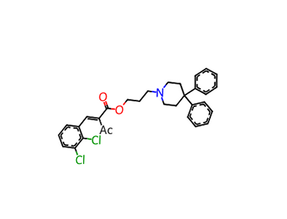 CC(=O)C(=Cc1cccc(Cl)c1Cl)C(=O)OCCCN1CCC(c2ccccc2)(c2ccccc2)CC1